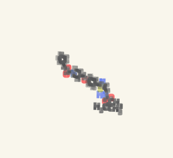 CC(C)(C)OC(=O)NCc1cnc(-c2ccc(OCC3CCN(C(=O)OCc4ccccc4)CC3)cc2)s1